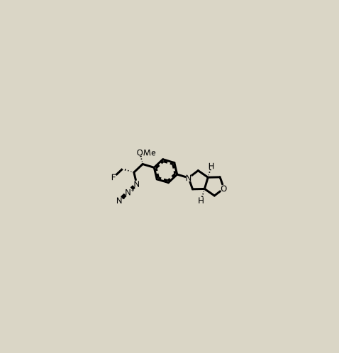 CO[C@H](c1ccc(N2C[C@H]3COC[C@H]3C2)cc1)[C@@H](CF)N=[N+]=[N-]